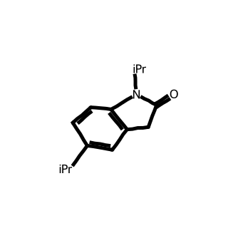 CC(C)c1ccc2c(c1)CC(=O)N2C(C)C